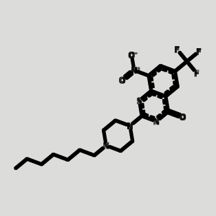 CCCCCCCN1CCN(c2nc(=O)c3cc(C(F)(F)F)cc([N+](=O)[O-])c3s2)CC1